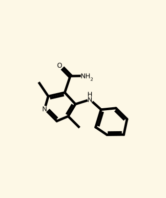 Cc1cnc(C)c(C(N)=O)c1Nc1ccccc1